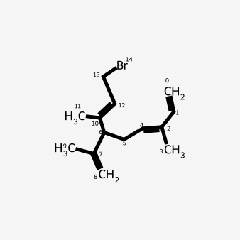 C=CC(C)=CCC(C(=C)C)C(C)=CCBr